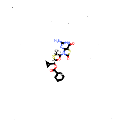 C[C@@H]1S[C@@H](C(OC(=O)c2ccccc2)C2CC2)OC1n1c(=O)sc2c(=O)[nH]c(N)nc21